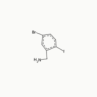 NCc1cc(Br)ccc1I